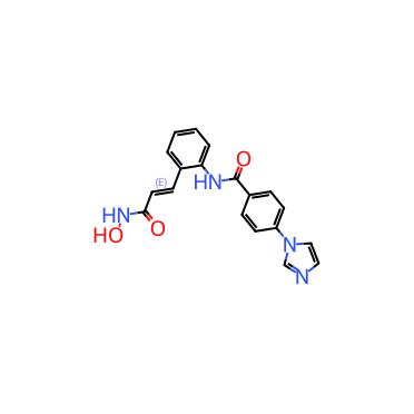 O=C(/C=C/c1ccccc1NC(=O)c1ccc(-n2ccnc2)cc1)NO